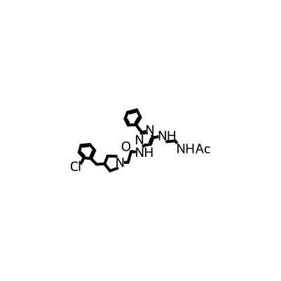 CC(=O)NCCNc1cc(NC(=O)CN2CCC(Cc3ccccc3Cl)CC2)nc(-c2ccccc2)n1